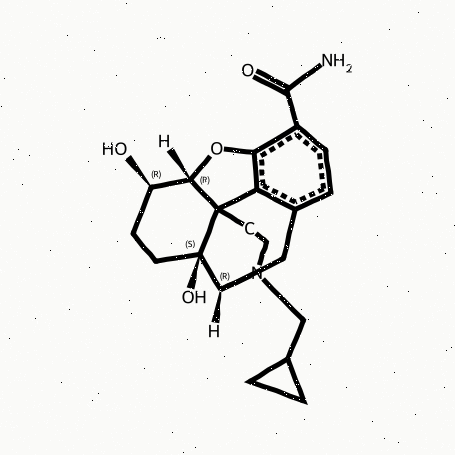 NC(=O)c1ccc2c3c1O[C@H]1[C@H](O)CC[C@@]4(O)[C@@H](C2)N(CC2CC2)CCC314